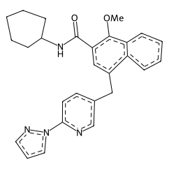 COc1c(C(=O)NC2CCCCC2)cc(Cc2ccc(-n3cccn3)nc2)c2ccccc12